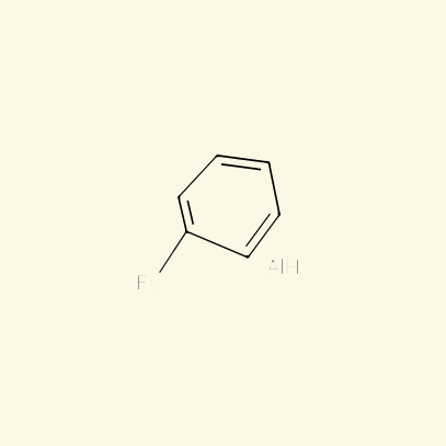 [AlH3].[CH2]Cc1ccccc1